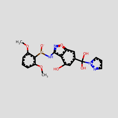 COc1cccc(OC)c1[S+]([O-])Nc1noc2cc(C(O)(O)n3cccn3)cc(O)c12